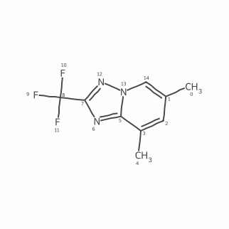 Cc1cc(C)c2nc(C(F)(F)F)nn2c1